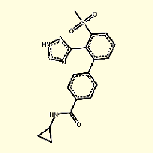 CS(=O)(=O)c1cccc(-c2ccc(C(=O)NC3CC3)cc2)c1-c1nn[nH]n1